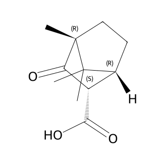 CC1(C)[C@@H]2CC[C@@]1(C)C(=O)[C@H]2C(=O)O